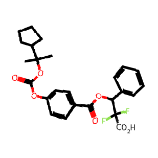 CC(C)(OC(=O)Oc1ccc(C(=O)OC(c2ccccc2)C(F)(F)C(=O)O)cc1)C1CCCC1